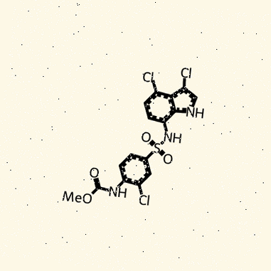 COC(=O)Nc1ccc(S(=O)(=O)Nc2ccc(Cl)c3c(Cl)c[nH]c23)cc1Cl